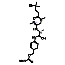 CCC(C)(C)CCC(=O)N(C)C/C(=N/C)N[C@H](C)C(O)NC1=CCC(COC(=O)NC)C=C1